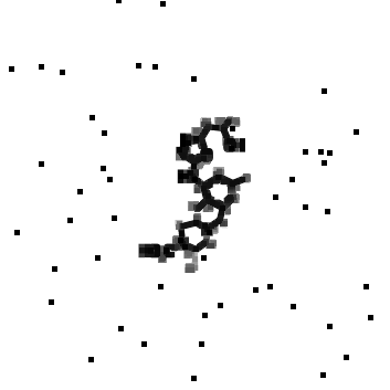 Cc1cc(CN2CCN(C(=O)O)[C@@H](C)C2)c(C)c(Nc2nnc(CC(C)O)o2)c1